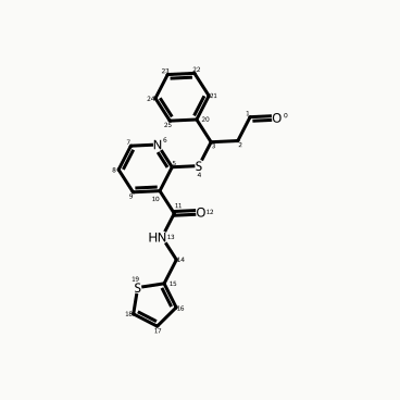 O=CCC(Sc1ncccc1C(=O)NCc1cccs1)c1ccccc1